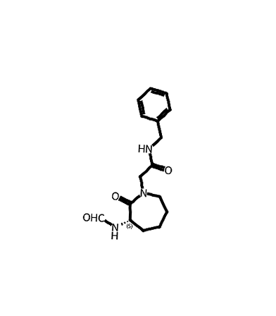 O=CN[C@H]1CCCCN(CC(=O)NCc2ccccc2)C1=O